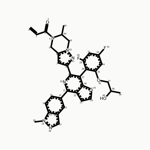 C=CC(=O)N1Cc2cc(-c3nc(-c4ccc5c(cnn5C)c4)c4ccsc4c3-c3c(F)cc(F)cc3OCC(C)O)nn2CC1C